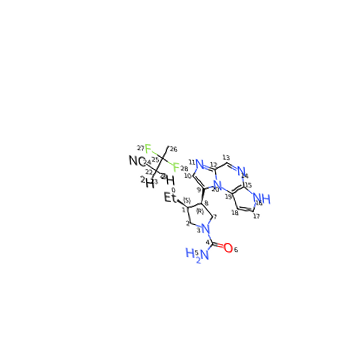 CC[C@@H]1CN(C(N)=O)C[C@@H]1c1cnc2cnc3[nH]ccc3n12.[2H]C([2H])(C#N)C(C)(F)F